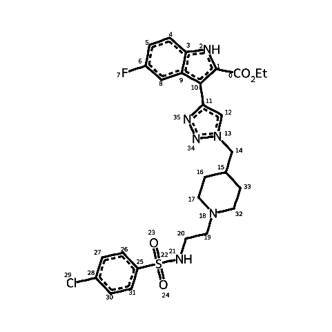 CCOC(=O)c1[nH]c2ccc(F)cc2c1-c1cn(CC2CCN(CCNS(=O)(=O)c3ccc(Cl)cc3)CC2)nn1